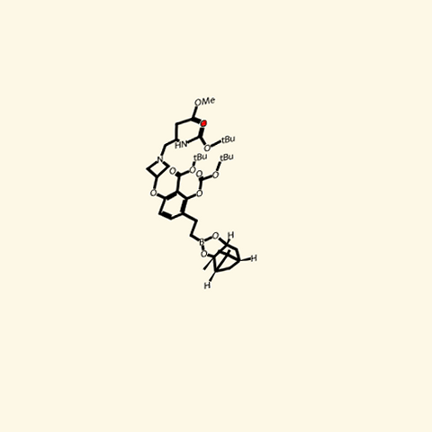 COC(=O)CC(CN1CC(Oc2ccc(CCB3O[C@@H]4C[C@@H]5C[C@@H](C5(C)C)[C@]4(C)O3)c(OC(=O)OC(C)(C)C)c2C(=O)OC(C)(C)C)C1)NC(=O)OC(C)(C)C